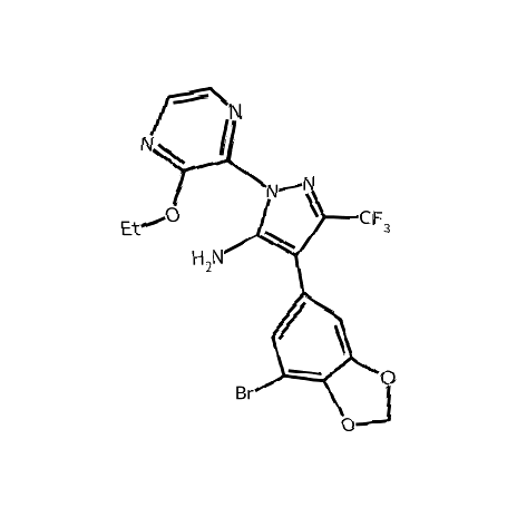 CCOc1nccnc1-n1nc(C(F)(F)F)c(-c2cc(Br)c3c(c2)OCO3)c1N